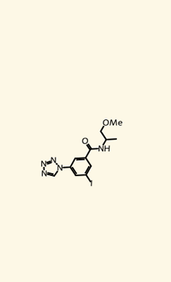 COCC(C)NC(=O)c1cc(I)cc(-n2cnnn2)c1